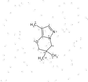 Cc1cnn2c1OCC(C)(C)C2